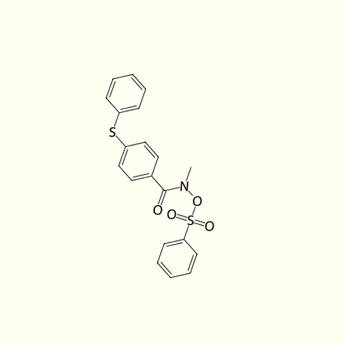 CN(OS(=O)(=O)c1ccccc1)C(=O)c1ccc(Sc2ccccc2)cc1